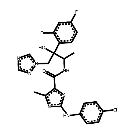 Cc1nc(Nc2ccc(Cl)cc2)sc1C(=O)NC(C)C(O)(Cn1cncn1)c1ccc(F)cc1F